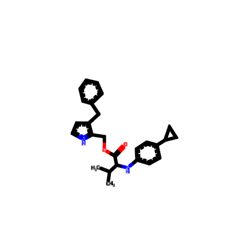 CC(C)C(Nc1ccc(C2CC2)cc1)C(=O)OCc1[nH]ccc1Cc1ccccc1